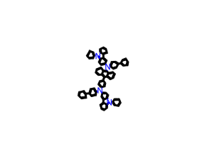 c1ccc(-c2ccc(N(c3ccc(-c4c5ccccc5c(N(c5ccc(-c6ccccc6)cc5)c5ccc6c(c5)c5ccccc5n6-c5ccccc5)c5ccccc45)cc3)c3ccc4c(c3)c3ccccc3n4-c3ccccc3)cc2)cc1